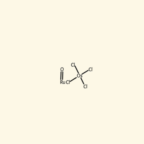 [Cl][Os]([Cl])([Cl])[Cl].[O]=[Ru]